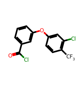 O=C(Cl)c1cccc(Oc2ccc(C(F)(F)F)c(Cl)c2)c1